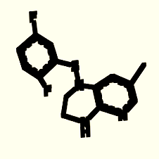 Cc1cnc2c(c1)N(Sc1cc(F)ccc1F)CCN2